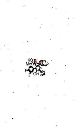 COC(=O)C1=C(CN2C3COCC2CC(CC(=O)O)C3)N=C(c2nccs2)N[C@H]1c1ccc(F)c(F)c1Cl